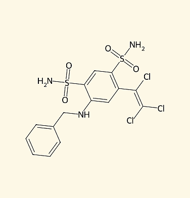 NS(=O)(=O)c1cc(S(N)(=O)=O)c(C(Cl)=C(Cl)Cl)cc1NCc1ccccc1